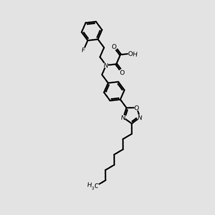 CCCCCCCCc1noc(-c2ccc(CN(CCc3ccccc3F)C(=O)C(=O)O)cc2)n1